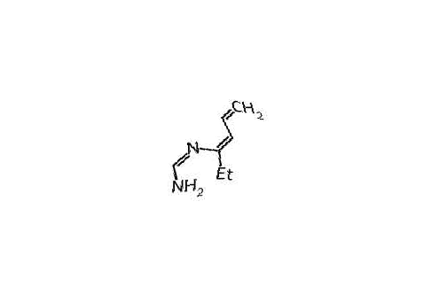 C=C/C=C(CC)\N=C/N